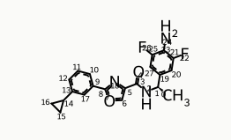 C[C@@H](NC(=O)c1coc(-c2cccc(C3CC3)c2)n1)c1cc(F)c(N)c(F)c1